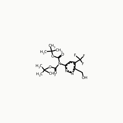 CC(C)(C)OC(=O)N(C(=O)OC(C)(C)C)c1cc(C(F)(F)F)c(CO)nn1